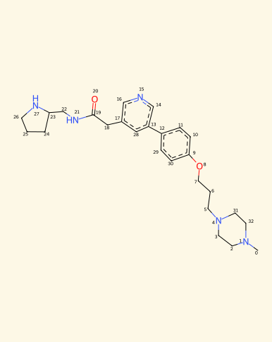 CN1CCN(CCCOc2ccc(-c3cncc(CC(=O)NCC4CCCN4)c3)cc2)CC1